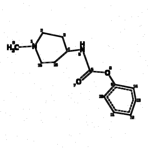 CN1CCC(NC(=O)Oc2ccccc2)CC1